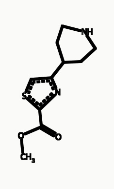 COC(=O)c1nc(C2CCNCC2)cs1